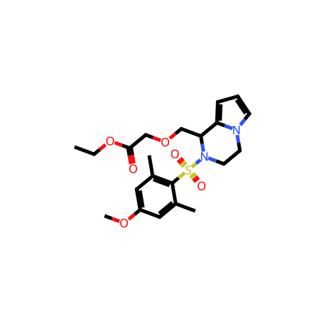 CCOC(=O)COCC1c2cccn2CCN1S(=O)(=O)c1c(C)cc(OC)cc1C